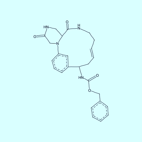 O=C1CN2c3cccc(c3)C(NC(=O)OCc3ccccc3)C/C=C/CCNC(=O)C2CN1